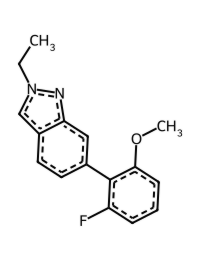 CCn1cc2ccc(-c3c(F)cccc3OC)cc2n1